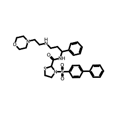 O=C(NC(CCNCCN1CCOCC1)c1ccccc1)C1SCCN1S(=O)(=O)c1ccc(-c2ccccc2)cc1